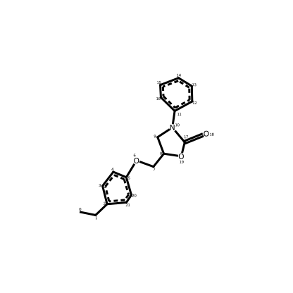 CCc1ccc(OCC2CN(c3ccccc3)C(=O)O2)cc1